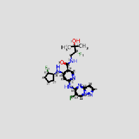 CC(C)(O)[C@H](F)CNC(=O)c1cnc(Nc2nc3ccnn3cc2F)cc1N[C@H]1CCC[C@H]1F